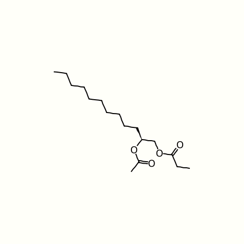 CCCCCCCCCC[C@@H](COC(=O)CC)OC(C)=O